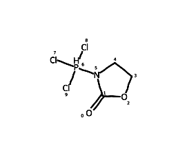 O=C1OCCN1[PH](Cl)(Cl)Cl